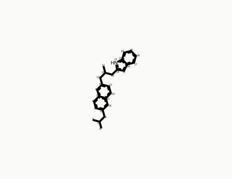 CC(C)Cc1ccc2cc(CC(C)Cc3cc4ccccc4[nH]3)ccc2c1